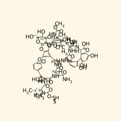 COC(=O)N[C@@]1(C)C[C@H](O[C@H]2[C@H](Oc3c4cc5cc3Oc3ccc(cc3Cl)[C@@H](O)[C@@H](NC(=O)[C@@H](CC(C)C)N(C)C(=O)O[SH]=S)C(=O)N[C@@H](CC(N)=O)C(=O)N[C@H]5C(=O)N[C@H]3C(=O)N[C@H](C(=O)NC(C(=O)O)c5cc(O)cc(O)c5-c5cc3ccc5O)[C@H](O)c3ccc(c(Cl)c3)O4)O[C@H](CO)[C@@H](O)[C@@H]2O)O[C@@H](C)[C@H]1O